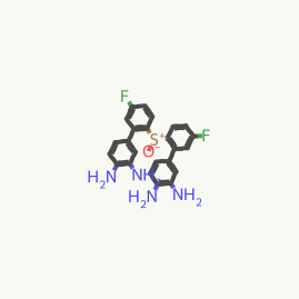 Nc1ccc(-c2cc(F)ccc2[S+]([O-])c2ccc(F)cc2-c2ccc(N)c(N)c2)cc1N